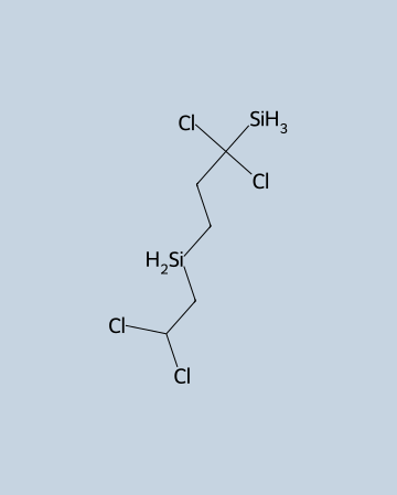 [SiH3]C(Cl)(Cl)CC[SiH2]CC(Cl)Cl